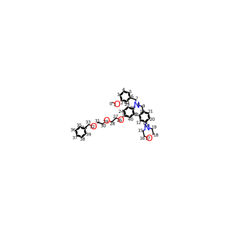 COc1cccc(CN(Cc2ccc(N3CCOCC3)cc2)c2ccc(OCCOCCOCc3ccccc3)cc2)c1